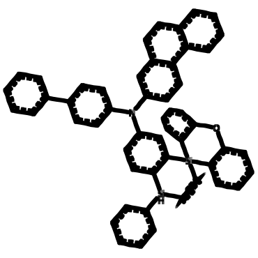 c1ccc(-c2ccc(N(c3ccc4c(c3)[Si]3(c5ccccc5Oc5ccccc53)c3ccccc3[SiH]4c3ccccc3)c3ccc4c(ccc5ccccc54)c3)cc2)cc1